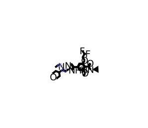 C/C=N\C(=C/c1ncc(-c2cc(OC)c(C(=O)NC3CC3)c(OCC(F)F)c2)[nH]1)C1CCOCC1